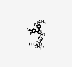 COc1ccc(-c2sc(C(=O)N3CCN(C(=O)OC(C)(C)C)CC3)cc2-c2ccc(C#N)c(F)c2)cc1F